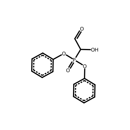 O=CC(O)P(=O)(Oc1ccccc1)Oc1ccccc1